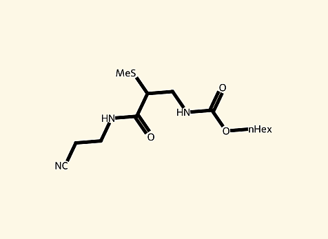 CCCCCCOC(=O)NCC(SC)C(=O)NCCC#N